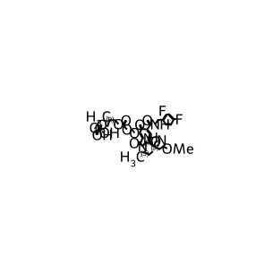 COC1=NO[C@@]2(CC[C@H](C)N3C[C@H]2n2cc(C(=O)NCc4ccc(F)cc4F)c(=O)c(OCOC(=O)OC[C@@H](C)COP(=O)(O)O)c2C3=O)C1